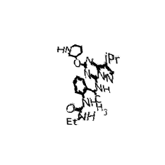 CCNC(=O)Nc1ccccc1C(C)Nc1nc(O[C@@H]2CCCNC2)nc2c(C(C)C)cnn12